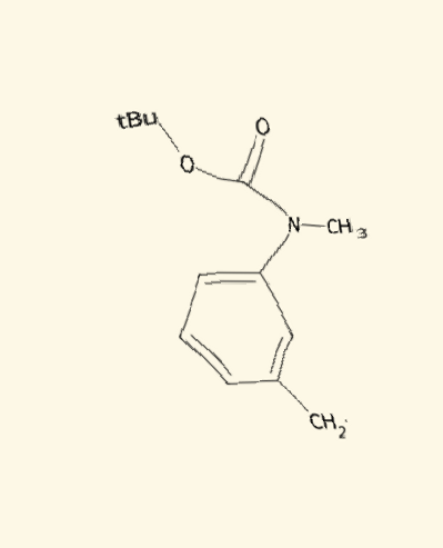 [CH2]c1cccc(N(C)C(=O)OC(C)(C)C)c1